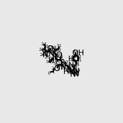 CCCO[C@H](C[C@H](C(C)C)N(CCC)C(=O)[C@@H](NC(=O)[C@@H]([C@@H](C)CC)N(C)C)[C@@H](C)CC)c1nc(C(=O)N[C@@H](Cc2ccc(O)cc2)c2nnn[nH]2)cs1